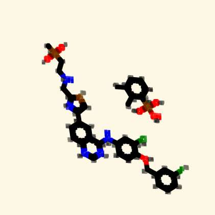 CS(=O)(=O)CCNCc1nc(-c2ccc3ncnc(Nc4ccc(OCc5cccc(F)c5)c(Cl)c4)c3c2)cs1.Cc1cccc(S(=O)(=O)O)c1C